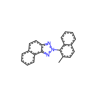 Cc1ccc2ccccc2c1-n1nc2ccc3ccccc3c2n1